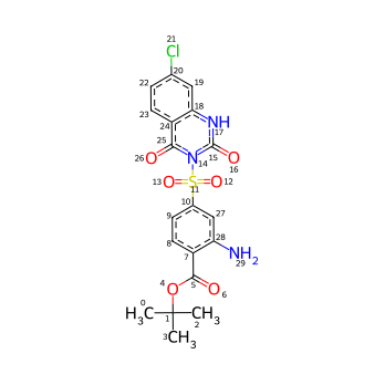 CC(C)(C)OC(=O)c1ccc(S(=O)(=O)n2c(=O)[nH]c3cc(Cl)ccc3c2=O)cc1N